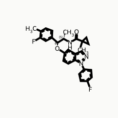 Cc1ccc([C@@H](Oc2ccc3c(cnn3-c3ccc(F)cc3)c2)[C@H](C)NC(=O)C2(C)CC2)cc1F